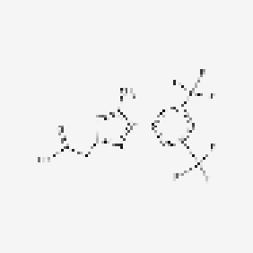 Cc1oc(CC(=O)O)nc1-c1cc(C(F)(F)F)cc(C(F)(F)F)c1